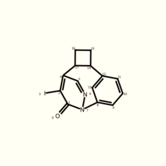 O=c1c(I)c2cnn1-c1cccc(c1)C1CCC21